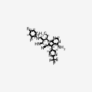 CCC(/C(C=N)=C/Nc1ccc(F)cc1F)n1c(C#N)c(-c2cnc(C(F)(F)F)nc2)c2c(N)ncnc21